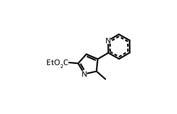 CCOC(=O)C1=NC(C)C(c2ccccn2)=C1